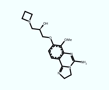 COc1c(OC[C@H](O)CN2CCC2)ccc2c1N=C(N)N1CCN=C21